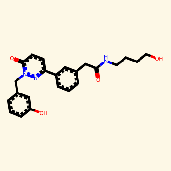 O=C(Cc1cccc(-c2ccc(=O)n(Cc3cccc(O)c3)n2)c1)NCCCCO